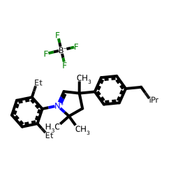 CCc1cccc(CC)c1[N+]1=CC(C)(c2ccc(CC(C)C)cc2)CC1(C)C.F[B-](F)(F)F